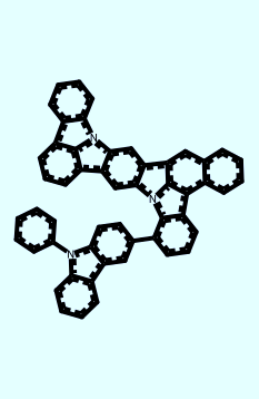 c1ccc(-n2c3ccccc3c3cc(-c4cccc5c6c7ccccc7cc7c8cc9c(cc8n(c45)c76)c4cccc5c6ccccc6n9c54)ccc32)cc1